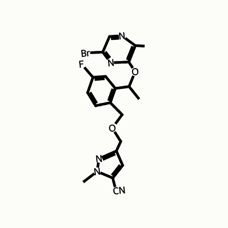 Cc1ncc(Br)nc1OC(C)c1cc(F)ccc1COCc1cc(C#N)n(C)n1